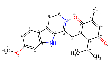 COc1ccc2c3c([nH]c2c1)C(CC1C(=O)C(C)=CC(=O)C1C(C)C)=NCC3